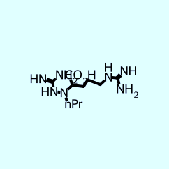 CCCN(NC(=N)N)C(CCCNC(=N)N)C(=O)O